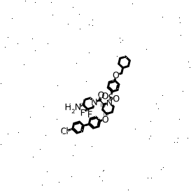 N[C@H]1CCN(C(=O)[C@@H]2C[C@@H](Oc3ccc(-c4ccc(Cl)cc4)cc3)CCN2S(=O)(=O)c2ccc(OCC3CCCCC3)cc2)CC1(F)F